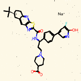 CC(C)(C)[C@H]1CCc2nc3sc(C(=O)NC(CCN4CCC(C(=O)[O-])CC4)c4ccc(-c5cnc(O)c(F)c5)cc4)nc3cc2C1.[Na+]